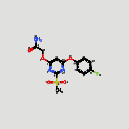 CS(=O)(=O)c1nc(OCC(N)=O)cc(Oc2ccc(F)cc2)n1